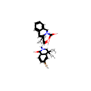 CC1(C)CN(C[C@H]2OC(=O)N3Cc4ccccc4C[C@@H]23)C(=O)c2ccc(Br)cc21